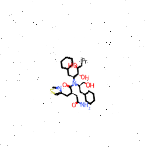 CC(C)C[C@H](O)[C@H](O)[C@H](CC1CCCCC1)N(C(=O)[C@@H](CC(N)=O)Cc1cscn1)[C@@H](CO)CC1CCCCC1